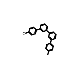 Cc1ccc(-c2cccc(-c3cccc(-c4ccc(Cl)cc4)c3)c2)cc1